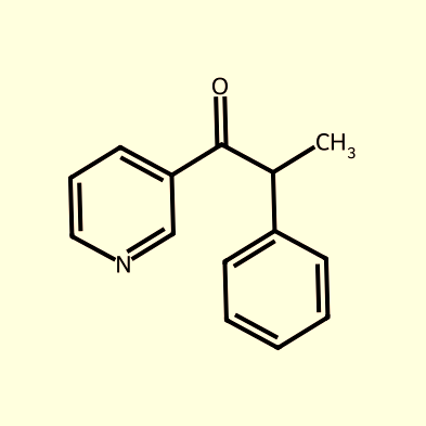 CC(C(=O)c1cccnc1)c1ccccc1